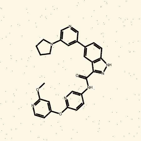 COc1cc(Oc2ccc(NC(=O)c3n[nH]c4ccc(-c5cncc(N6CCCC6)c5)cc34)cn2)ccn1